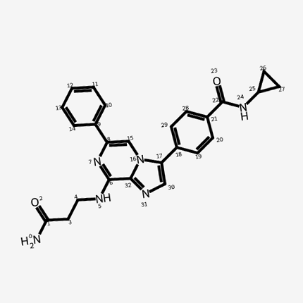 NC(=O)CCNc1nc(-c2ccccc2)cn2c(-c3ccc(C(=O)NC4CC4)cc3)cnc12